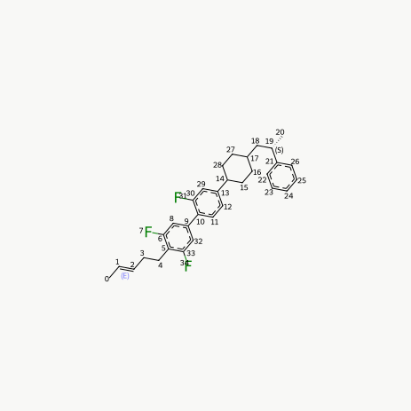 C/C=C/CCc1c(F)cc(-c2ccc(C3CCC(C[C@H](C)c4ccccc4)CC3)cc2F)cc1F